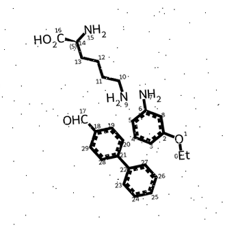 CCOc1cccc(N)c1.NCCCC[C@H](N)C(=O)O.O=Cc1ccc(-c2ccccc2)cc1